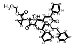 CCOC(=O)C1(NC(=O)c2nc(-c3cccnc3)c3c(cc(-c4ccccc4)c(=O)n3CCc3ccccc3)c2O)CC1